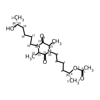 CC(=O)O[C@H](C)CCCCN1C(=O)C(C)N(CCCC[C@@H](C)O)C(=O)C1C